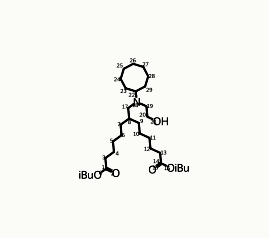 CC(C)COC(=O)CCCCCC(CCCCCC(=O)OCC(C)C)CN(CCO)C1CCCCCCC1